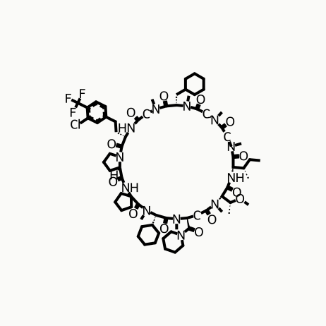 CC[C@H](C)[C@@H]1NC(=O)[C@H]([C@@H](C)OC)N(C)C(=O)C[C@@H](C(=O)N2CCCCC2)N(C)C(=O)[C@H](C2CCCCC2)N(C)C(=O)C2(CCCC2)NC(=O)[C@@H]2CCCN2C(=O)[C@H](CCc2ccc(C(F)(F)F)c(Cl)c2)NC(=O)CN(C)C(=O)[C@H](CC2CCCCC2)N(C)C(=O)CN(C)C(=O)CN(C)C1=O